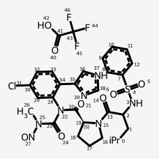 CC(C)CC(NS(=O)(=O)c1ccccc1)C(=O)N1CCC[C@H]1C(=O)N(C(=O)N(C)N=O)c1cc(Cl)ccc1-c1c[nH]cn1.O=C(O)C(F)(F)F